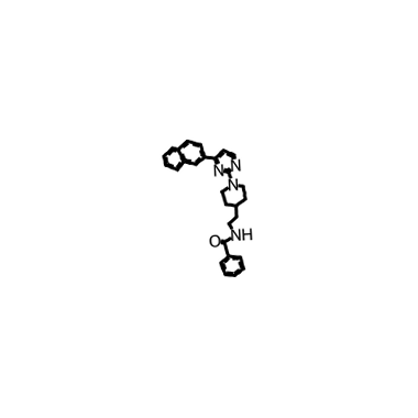 O=C(NCCC1CCN(c2nccc(-c3ccc4ccccc4c3)n2)CC1)c1ccccc1